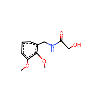 COc1cccc(CNC(=O)CO)c1OC